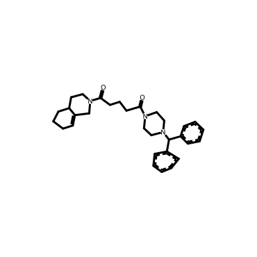 O=C(CCCC(=O)N1CCC2CCCC=C2C1)N1CCN(C(c2ccccc2)c2ccccc2)CC1